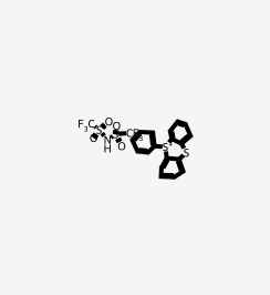 O=S(=O)(NS(=O)(=O)C(F)(F)F)C(F)(F)F.c1ccc([S+]2c3ccccc3Sc3ccccc32)cc1